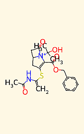 C=C(NC(C)=O)SC1=C(C(=O)OCc2ccccc2)[N+]2(C(C)(C)O)C(=O)CC2C1